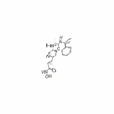 C[C@H](NC(=O)[C@@H](C)Nc1cnc(/C=C/C(=O)NO)cn1)c1ccccc1